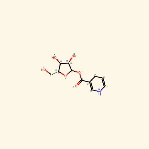 O=C(OC1O[C@H](CO)[C@@H](O)[C@H]1O)C1=CNC=CC1